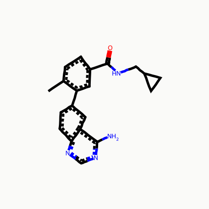 Cc1ccc(C(=O)NCC2CC2)cc1-c1ccc2ncnc(N)c2c1